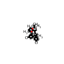 CCOc1nc(C(C)(C)C)ncc1C1=N[C@@](C)(c2ccc(Cl)cc2)[C@@](C)(c2ccc(Cl)cc2)N1C(=O)N1CCCCC1